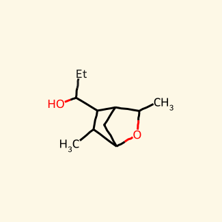 CCC(O)C1C(C)C2CC1C(C)O2